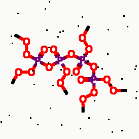 COOP(=O)(OOC)OP(=O)(OOC)OP(=O)(OOC)OP(=O)(OOC)OOC